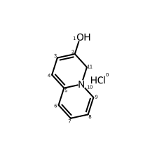 Cl.OC1=CC=C2C=CC=CN2C1